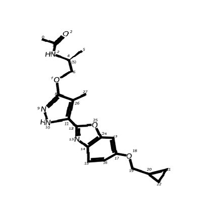 CC(=O)N[C@@H](C)COc1n[nH]c(-c2nc3ccc(OCC4CC4)cc3o2)c1C